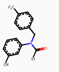 CCC(=O)N(Cc1ccc(C(F)(F)F)cc1)c1cccc(C#N)c1